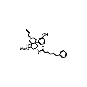 C=CCN1CC[C@@]2(c3cccc(O)c3)C[C@H](N(C)C(=O)CCCCCc3ccccc3)CC(OC)[C@@H]2C1